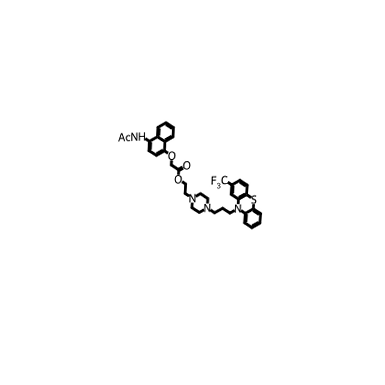 CC(=O)Nc1ccc(OCC(=O)OCCN2CCN(CCCN3c4ccccc4Sc4ccc(C(F)(F)F)cc43)CC2)c2ccccc12